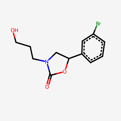 O=C1OC(c2cccc(Br)c2)CN1CCCO